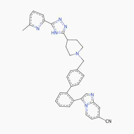 Cc1cccc(-c2nnc(C3CCN(Cc4ccc(-c5ccccc5-c5cnc6cc(C#N)ccn56)cc4)CC3)[nH]2)n1